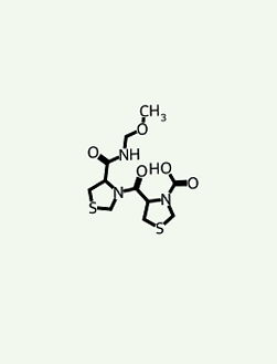 COCNC(=O)C1CSCN1C(=O)C1CSCN1C(=O)O